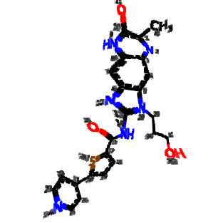 Cc1nc2cc3c(cc2[nH]c1=O)nc(NC(=O)c1ccc(-c2ccncc2)s1)n3CCCO